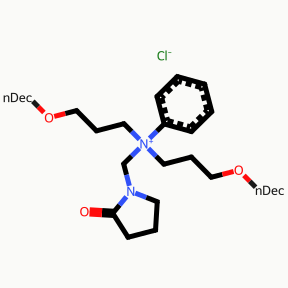 CCCCCCCCCCOCCC[N+](CCCOCCCCCCCCCC)(CN1CCCC1=O)c1ccccc1.[Cl-]